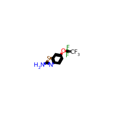 Nc1nc2ccc(OC(F)(F)C(F)(F)F)cc2s1